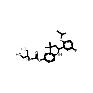 CC(C)Oc1ccc(F)cc1C1CC(C)(C)c2cc(OC(=O)NC(CO)CO)ccc2N1